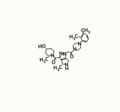 Cc1cccc(N2CCN(C(=O)Cn3nc(C(=O)N4CC[C@@H](O)C[C@@H]4C)c4c3CN[C@@H]4C)CC2)c1C